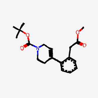 COC(=O)Cc1ccccc1C1=CCN(C(=O)OC(C)(C)C)CC1